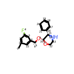 Cc1cc(F)cc([C@@H](C)O[C@H]2OCCN[C@H]2c2ccccc2)c1